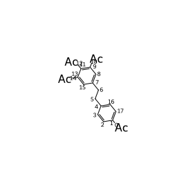 CC(=O)c1ccc(CCc2cc(C(C)=O)c(C(C)=O)c(C(C)=O)c2)cc1